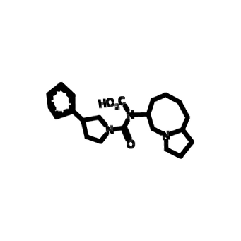 O=C(O)N(C(=O)N1CCC(c2ccccc2)C1)C1CCCCC2CCCN2C1